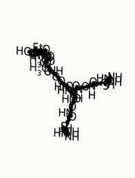 CCc1c2c(nc3ccc(O)cc13)-c1cc3c(c(=O)n1C2)COC(=O)[C@@]3(C)OC(=O)[C@H](C)CC(=O)NCCOCCOCCNC(=O)Nc1cc(C(=O)NCCOCCNC(=O)CCCC[C@@H]2SC[C@@H]3NC(=N)N[C@@H]32)cc(C(=O)NCCOCCNC(=O)CCCC[C@@H]2SC[C@@H]3NC(=N)N[C@@H]32)c1